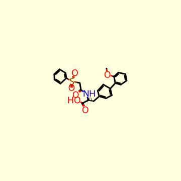 COc1ccccc1-c1ccc(C[C@H](NC(=O)CS(=O)(=O)c2ccccc2)C(=O)O)cc1